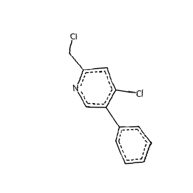 ClCc1cc(Cl)c(-c2ccccc2)cn1